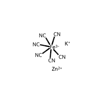 N#[C][Fe-3]([C]#N)([C]#N)([C]#N)([C]#N)[C]#N.[K+].[Zn+2]